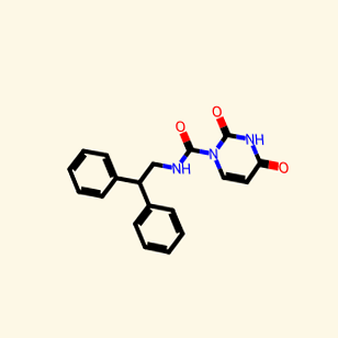 O=C(NCC(c1ccccc1)c1ccccc1)n1ccc(=O)[nH]c1=O